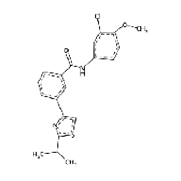 COc1ccc(NC(=O)c2cccc(-c3csc(C(C)C)n3)c2)cc1Cl